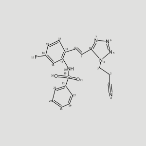 N#CCCn1nnnc1/C=C/c1ccc(F)cc1NS(=O)(=O)c1ccccc1